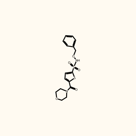 O=C(c1ccc(S(=O)(=O)NOCc2ccccc2)s1)N1CCOCC1